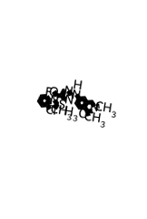 CC1Sc2nc(Nc3ccc4c(c3)CN(C)CC4(C)C)ncc2C(=O)N1c1c(F)cccc1Cl